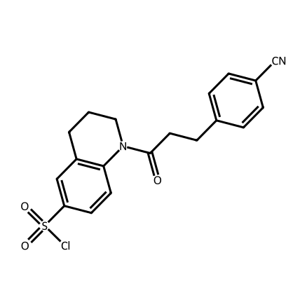 N#Cc1ccc(CCC(=O)N2CCCc3cc(S(=O)(=O)Cl)ccc32)cc1